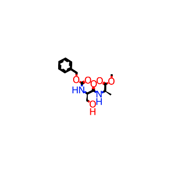 COC(=O)[C@@H](C)NC(=O)[C@@H](CO)NC(=O)OCc1ccccc1